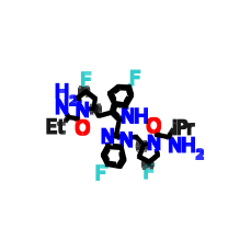 CCC(N)C(=O)N1C[C@@H](F)C[C@H]1Cc1c(-c2nc3cc(F)ccc3n2C[C@@H]2C[C@H](F)CN2C(=O)C(N)C(C)C)[nH]c2cc(F)ccc12